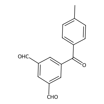 Cc1ccc(C(=O)c2cc(C=O)cc(C=O)c2)cc1